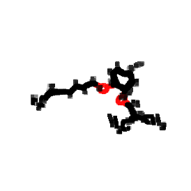 CCCCCCOc1ccccc1OC[C](C)C